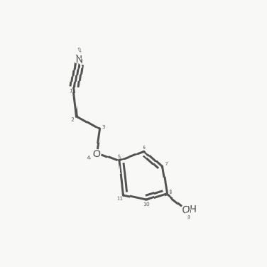 N#CCCOc1ccc(O)cc1